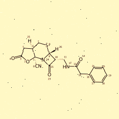 N#C[C@]12OC(=O)C[C@H]1CS[C@@H]1[C@H](CNC(=O)Cc3ccccc3)C(=O)N12